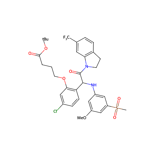 COc1cc(NC(C(=O)N2CCc3ccc(C(F)(F)F)cc32)c2ccc(Cl)cc2OCCCC(=O)OC(C)(C)C)cc(S(C)(=O)=O)c1